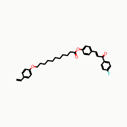 C=Cc1ccc(OCCCCCCCCCCC(=O)Oc2ccc(C=CC(=O)c3ccc(F)cc3)cc2)cc1